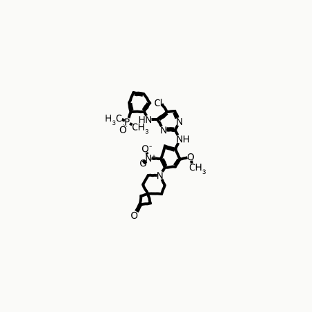 COc1cc(N2CCC3(CC2)CC(=O)C3)c([N+](=O)[O-])cc1Nc1ncc(Cl)c(Nc2ccccc2P(C)(C)=O)n1